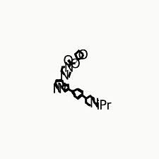 CC(C)N1CCC(c2ccc(-c3cc4c(N5CCN(C(=O)O[C@@H]6CCOC6)CC5)ccnn4c3)cc2)CC1